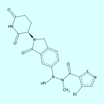 CCCN(c1ccc2c(c1)C(=O)N([C@@H]1CCC(=O)NC1=O)C2)N(C)C(=O)c1sncc1CC